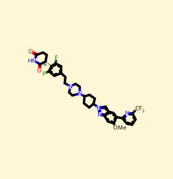 COc1cc2nn(C3CCC(N4CCN(CCc5cc(F)c([C@H]6CCC(=O)NC6=O)c(F)c5)CC4)CC3)cc2cc1-c1cccc(C(F)(F)F)n1